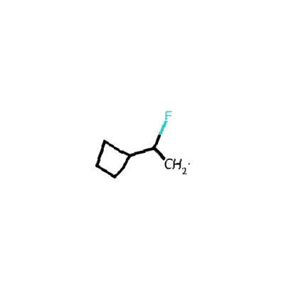 [CH2]C(F)C1CCC1